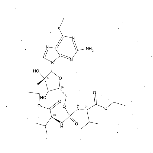 CCOC(=O)[C@@H](NP(=O)(N[C@H](C(=O)OCC)C(C)C)OC[C@H]1OC(n2cnc3c(SC)nc(N)nc32)[C@@](C)(O)C1O)C(C)C